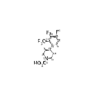 O=C(O)N1CC=C(c2ccc(F)c(F)c2C(F)(F)F)CC1